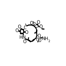 CCOCC(=O)O[C@@H]1[C@@H](OC)C[C@H](C)CC2=C(OC)C(=O)C=C(NC(=O)/C(C)=C/C=C\[C@H](OC)[C@@H](OC(N)=O)/C(C)=C/[C@@H]1C)C2=O